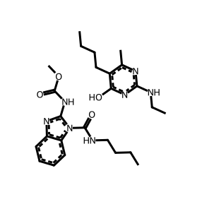 CCCCNC(=O)n1c(NC(=O)OC)nc2ccccc21.CCCCc1c(C)nc(NCC)nc1O